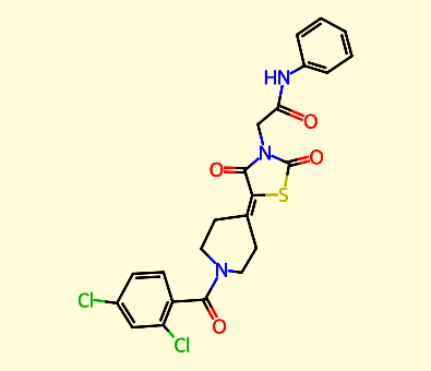 O=C(CN1C(=O)SC(=C2CCN(C(=O)c3ccc(Cl)cc3Cl)CC2)C1=O)Nc1ccccc1